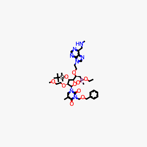 CCOP(C)(=O)C[C@H](OCCn1cnc2c(CNC)ncnc21)[C@H]1O[C@@H](n2cc(C)c(=O)n(COCc3ccccc3)c2=O)[C@H](OCCOC)[C@@H]1O[Si](C)(C)C(C)(C)C